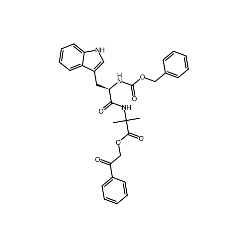 CC(C)(NC(=O)[C@@H](Cc1c[nH]c2ccccc12)NC(=O)OCc1ccccc1)C(=O)OCC(=O)c1ccccc1